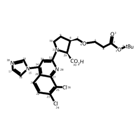 CC(C)(C)OC(=O)CCOC[C@@H]1CCN(c2cc(-n3ccnc3)c3ccc(Cl)c(Cl)c3n2)[C@@H]1C(=O)O